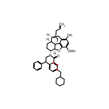 C=CCN1CC[C@]23c4c5c(O)cc(OC)c4O[C@H]2[C@H](N(CC(c2ccccc2)c2ccccc2)C(=O)CCCCC2CCCCC2)CC[C@H]3[C@H]1C5